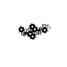 Cc1ccccc1OC(=O)c1cc2ccccc2c(-c2c(O)c(C(=O)Oc3ccccc3C)cc3ccccc23)c1O